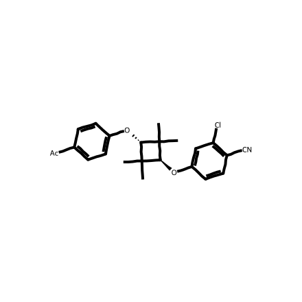 CC(=O)c1ccc(O[C@H]2C(C)(C)[C@H](Oc3ccc(C#N)c(Cl)c3)C2(C)C)cc1